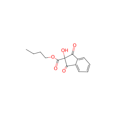 CCCCOC(=O)C1(O)C(=O)c2ccccc2C1=O